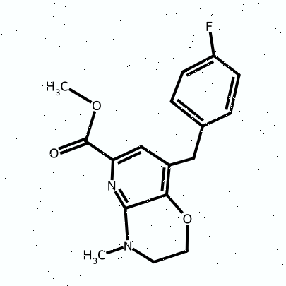 COC(=O)c1cc(Cc2ccc(F)cc2)c2c(n1)N(C)CCO2